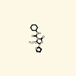 C[C@@H]1[C@@H](c2cccs2)OC(=O)N1C(=O)NC1CCCCC1